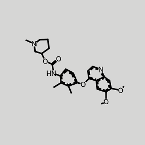 COc1cc2nccc(Oc3ccc(NC(=O)OC4CCCN(C)C4)c(C)c3C)c2cc1OC